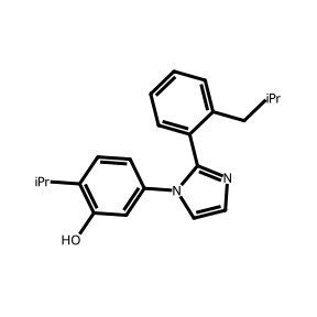 CC(C)Cc1ccccc1-c1nccn1-c1ccc(C(C)C)c(O)c1